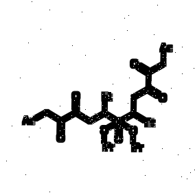 CC[CH](CC(=O)C(=O)CC(C)=O)[Ti](=[O])([O]C(C)C)([O]C(C)C)[CH](CC)CC(=O)C(=O)CC(C)=O